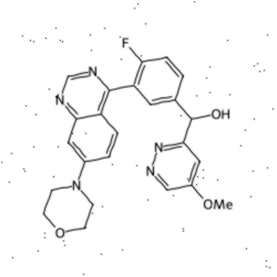 COc1cnnc(C(O)c2ccc(F)c(-c3ncnc4cc(N5CCOCC5)ccc34)c2)c1